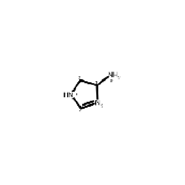 NC1CNC=N1